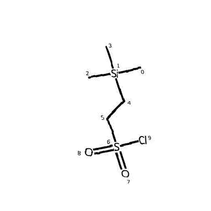 C[Si](C)(C)CCS(=O)(=O)Cl